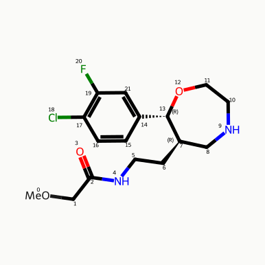 COCC(=O)NCC[C@@H]1CNCCO[C@H]1c1ccc(Cl)c(F)c1